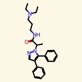 CCN(CC)CCCNC(=O)C(C)n1ncc(-c2ccccc2)c1-c1ccccc1